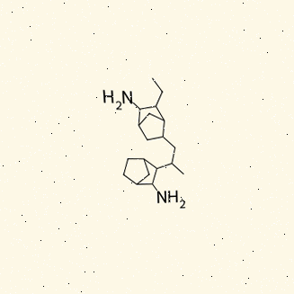 CCC1C(N)C2CC(CC(C)C3C4CCC(C4)C3N)C1C2